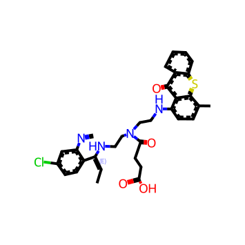 C=Nc1cc(Cl)ccc1/C(=C\C)NCCN(CCNc1ccc(C)c2sc3ccccc3c(=O)c12)C(=O)CCC(=O)O